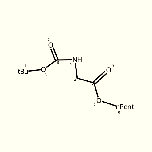 CCCCCOC(=O)CNC(=O)OC(C)(C)C